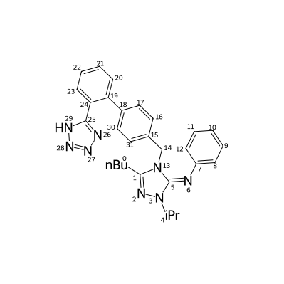 CCCCc1nn(C(C)C)c(=Nc2ccccc2)n1Cc1ccc(-c2ccccc2-c2nnn[nH]2)cc1